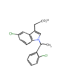 CC(c1ccccc1Cl)n1cc(CC(=O)O)c2cc(Cl)ccc21